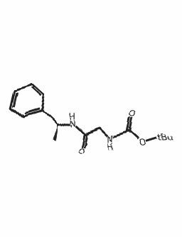 C[C@H](NC(=O)CNC(=O)OC(C)(C)C)c1ccccc1